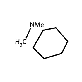 C1CCCCC1.CNC